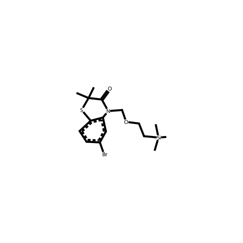 CC1(C)Sc2ccc(Br)cc2N(COCC[Si](C)(C)C)C1=O